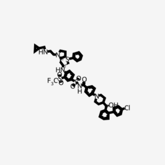 O=C(NS(=O)(=O)c1ccc(N[C@@H](CSc2ccccc2)C[C@@H]2CCCN2CCNCC2CC2)c(S(=O)(=O)C(F)(F)F)c1)c1ccc(N2CCC([C@@H](O)c3ccccc3-c3ccc(Cl)cc3)CC2)cc1